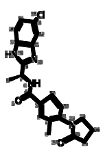 Cc1cc(C(=O)N[C@@H](C)c2nc3cc(Cl)ccc3[nH]2)ccc1N1CCCC1=O